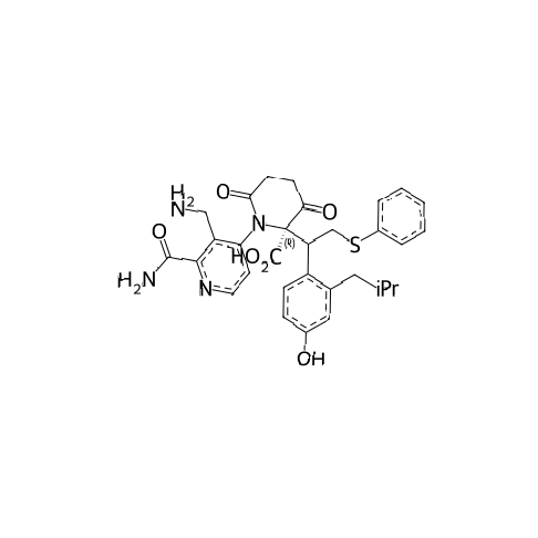 CC(C)Cc1cc(O)ccc1C(CSc1ccccc1)[C@]1(C(=O)O)C(=O)CCC(=O)N1c1ccnc(C(N)=O)c1CN